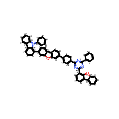 c1ccc(-c2nc(-c3ccc(-c4ccc5c(c4)oc4cc(-c6cccc7c8ccccc8n(-c8ccccc8)c67)ccc45)cc3)nc(-c3cccc4c3oc3ccccc34)n2)cc1